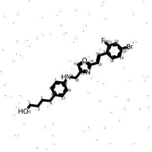 OCCCCc1ccc(NCc2coc(/C=C/c3ccc(Br)cc3F)n2)cc1